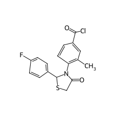 Cc1cc(C(=O)Cl)ccc1N1C(=O)CSC1c1ccc(F)cc1